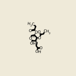 CCC(=O)O[C@H]1[C@@H](CCC(=O)O)[C@H](O)OC[C@H]1OC(=O)CC